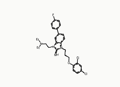 CCN(CC)CCn1c(=N)n(CCCOc2ccc(Cl)cc2Cl)c2ccc(-c3ccc(F)cc3)cc21